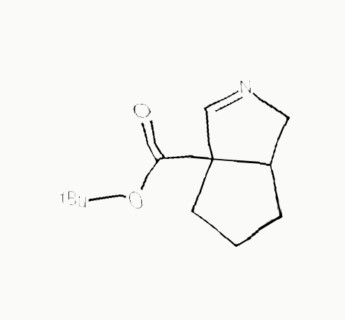 CC(C)(C)OC(=O)C12C=NCC1CCC2